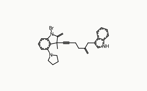 C=C(CCC#CC1(C)C(=C)N(Br)c2cccc(N3CCCC3)c21)Cc1c[nH]c2ccccc12